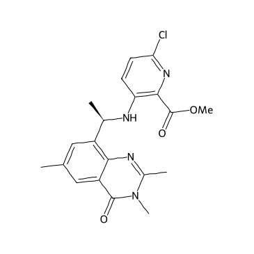 COC(=O)c1nc(Cl)ccc1N[C@H](C)c1cc(C)cc2c(=O)n(C)c(C)nc12